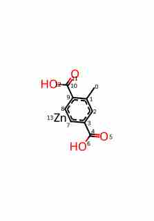 Cc1cc(C(=O)O)ccc1C(=O)O.[Zn]